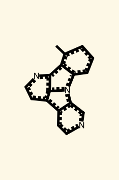 Cc1cccc2c1c1nccc3c4ccncc4n2c31